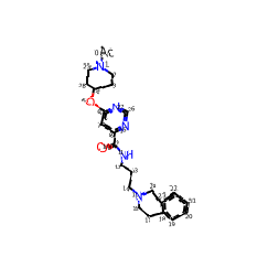 CC(=O)N1CCC(Oc2cc(C(=O)NCCCN3CCc4ccccc4C3)ncn2)CC1